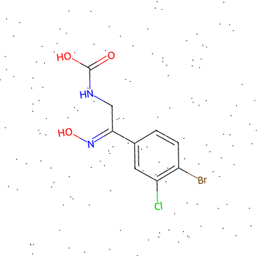 O=C(O)NCC(=NO)c1ccc(Br)c(Cl)c1